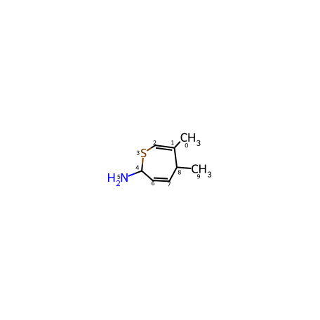 CC1=CSC(N)C=CC1C